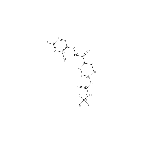 Cc1ccc(CNC(=O)C2CCN(CC(=O)NC(C)(C)C)CC2)c(Cl)c1